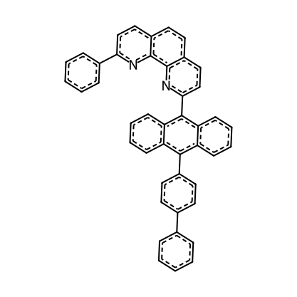 c1ccc(-c2ccc(-c3c4ccccc4c(-c4ccc5ccc6ccc(-c7ccccc7)nc6c5n4)c4ccccc34)cc2)cc1